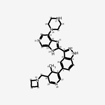 CC1C(c2ccc3[nH]nc(-c4nc5c(N6CCNCC6)cncc5[nH]4)c3c2)=CN=CC1CN1CCC1